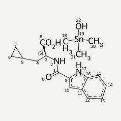 O=C(N[C@@H](CC1CC1)C(=O)O)c1cc2ccccc2[nH]1.[CH3][Sn]([CH3])([CH3])[OH]